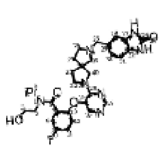 CC(C)N(CCO)C(=O)c1cc(F)ccc1Oc1cncnc1N1CCC2(CCN(Cc3ccc4[nH]c(=O)[nH]c4c3)C2)C1